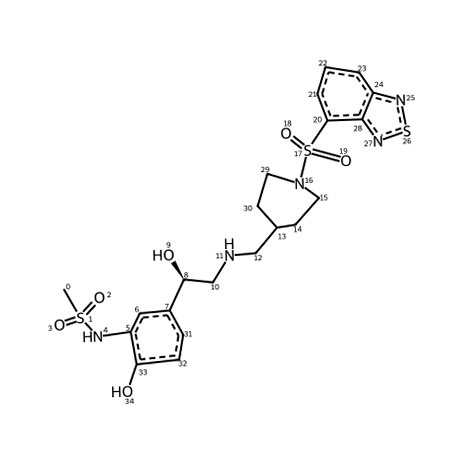 CS(=O)(=O)Nc1cc([C@@H](O)CNCC2CCN(S(=O)(=O)c3cccc4nsnc34)CC2)ccc1O